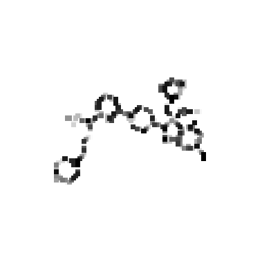 CC(N1CCN(c2cccc(N(C)CCCN3CCOCC3)n2)CC1)C(O)(Cn1cncn1)c1ccc(F)cc1F